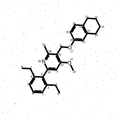 CCc1cccc(CC)c1-c1cc(OC)c(COc2ccc3c(c2)CCCC3)c(C)n1